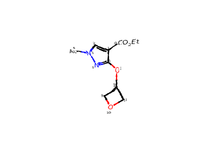 CCOC(=O)c1cn(C(C)=O)nc1OC1COC1